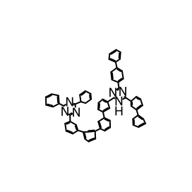 C1=CCC(c2nc(-c3ccccc3)nc(-c3cccc(-c4cccc(-c5cccc(-c6cccc(C7N=C(c8ccc(-c9ccccc9)cc8)N=C(c8cccc(-c9ccccc9)c8)N7)c6)c5)c4)c3)n2)C=C1